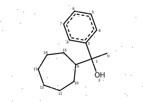 CC(O)(c1ccccc1)C1CCCCCC1